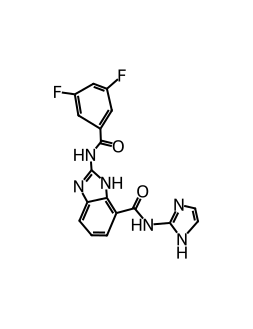 O=C(Nc1nc2cccc(C(=O)Nc3ncc[nH]3)c2[nH]1)c1cc(F)cc(F)c1